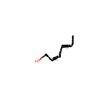 C/C=C/C=C\CO